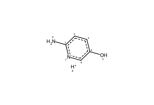 Nc1ccc(O)cn1.[H+]